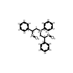 O=NC(CN(CC(N=O)c1ccccc1)c1ccccc1)c1ccccc1